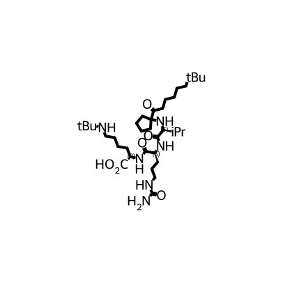 CC(C)[C@H](NC1(C(=O)CCCCCC(C)(C)C)CCCC1)C(=O)N[C@@H](CCCNC(N)=O)C(=O)N[C@H](CCCCNC(C)(C)C)C(=O)O